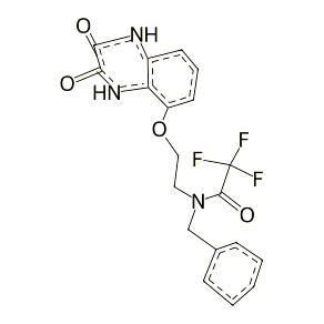 O=C(N(CCOc1cccc2[nH]c(=O)c(=O)[nH]c12)Cc1ccccc1)C(F)(F)F